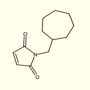 O=C1C=CC(=O)N1C[C]1CCCCCC1